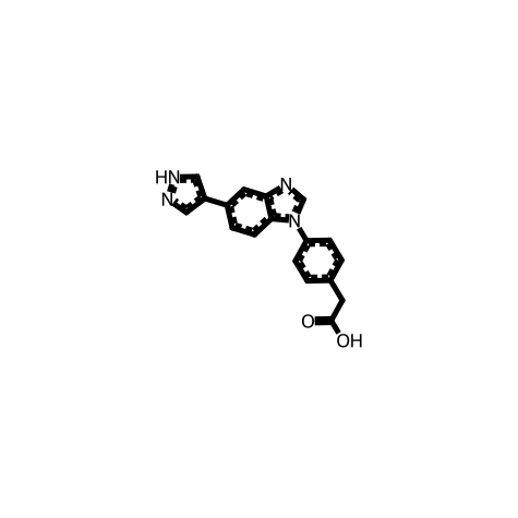 O=C(O)Cc1ccc(-n2cnc3cc(-c4cn[nH]c4)ccc32)cc1